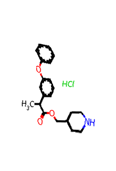 CC(C(=O)OCC1CCNCC1)c1cccc(Oc2ccccc2)c1.Cl